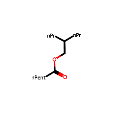 CCCCCC(=O)OCC(CCC)CCC